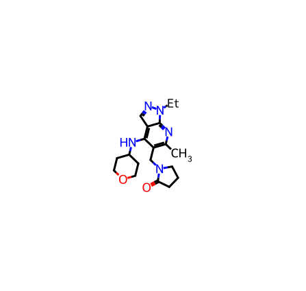 CCn1ncc2c(NC3CCOCC3)c(CN3CCCC3=O)c(C)nc21